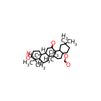 CC1(C)CC[C@]2(OC=O)CC[C@]3(C)C(C(=O)C[C@@H]4[C@@]5(C)CCC(O)C(C)(C)[C@@H]5CC[C@]43C)C2C1